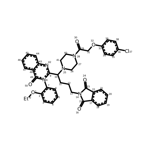 CCOc1ccccc1-n1c(C(CCCN2C(=O)c3ccccc3C2=O)N2CCN(C(=O)COc3ccc(Cl)cc3)CC2)nc2ccccc2c1=O